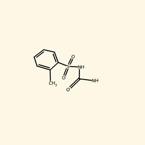 Cc1ccccc1S(=O)(=O)NC([NH])=O